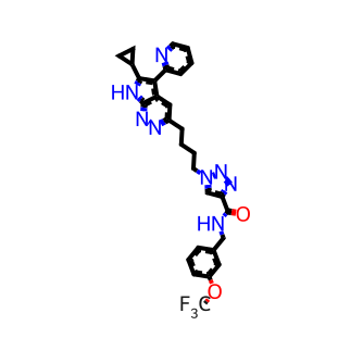 O=C(NCc1cccc(OC(F)(F)F)c1)c1cn(CCCCc2cc3c(-c4ccccn4)c(C4CC4)[nH]c3nn2)nn1